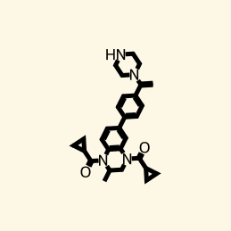 C=C(c1ccc(-c2ccc3c(c2)N(C(=O)C2CC2)CC(C)N3C(=O)C2CC2)cc1)N1CCNCC1